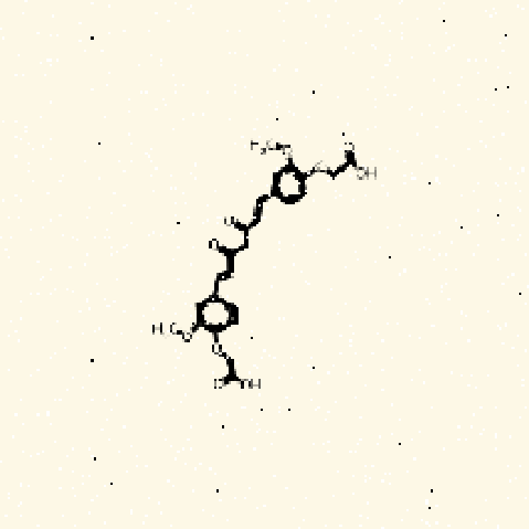 COc1cc(C=CC(=O)CC(=O)C=Cc2ccc(OCC(=O)O)c(OC)c2)ccc1OCC(=O)O